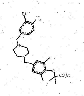 CCOC(=O)C(C)(C)Oc1c(C)cc(CN2CCN(Cc3ccc(C(F)(F)F)c(CC)c3)CC2)cc1C